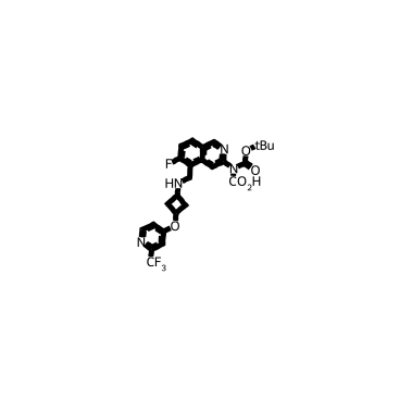 CC(C)(C)OC(=O)N(C(=O)O)c1cc2c(CNC3CC(Oc4ccnc(C(F)(F)F)c4)C3)c(F)ccc2cn1